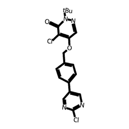 CC(C)(C)n1ncc(OCc2ccc(-c3cnc(Cl)nc3)cc2)c(Cl)c1=O